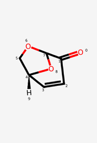 O=C1C=C[C@@H]2COC1O2